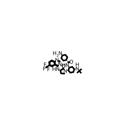 CC(C)(C)N[C@@H]1CC[C@H](N2CC[C@H](Nc3ncnc4ccc(C(F)(F)F)cc34)C2=O)[C@H](NC(=O)[C@H]2CC[C@H](N)CC2)C1